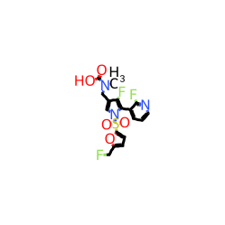 CN(Cc1cn(S(=O)(=O)c2ccc(CF)o2)c(-c2cccnc2F)c1F)C(=O)O